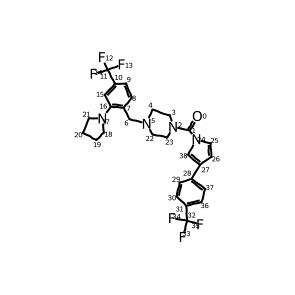 O=C(N1CCN(Cc2ccc(C(F)(F)F)cc2N2CCCC2)CC1)n1ccc(-c2ccc(C(F)(F)F)cc2)c1